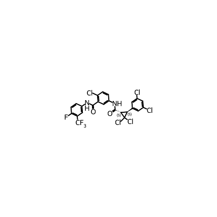 O=C(Nc1ccc(F)c(C(F)(F)F)c1)c1cc(NC(=O)[C@@H]2[C@@H](c3cc(Cl)cc(Cl)c3)C2(Cl)Cl)ccc1Cl